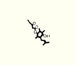 CCC(=O)CC(=O)Oc1c(C)c(C)c(O)c(CC=C(C)C)c1C